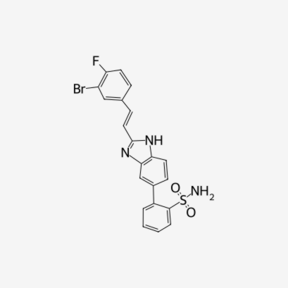 NS(=O)(=O)c1ccccc1-c1ccc2[nH]c(/C=C/c3ccc(F)c(Br)c3)nc2c1